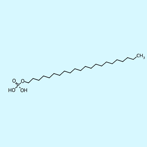 CCCCCCCCCCCCCCCCCCCCCCOP(=O)(O)O